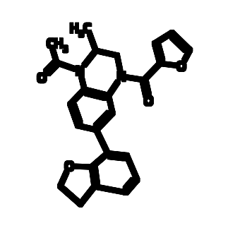 CC(=O)N1c2ccc(-c3cccc4c3OCC4)cc2N(C(=O)c2ccco2)CC1C